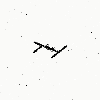 CCCCCCCCCCC(CCCCCCCC)CSCCC(=O)OCCCOC(=O)CCSCC(CCCCCCCC)CCCCCCCCCC